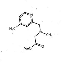 COC(=O)CN(C)Cc1cc(C)ccn1